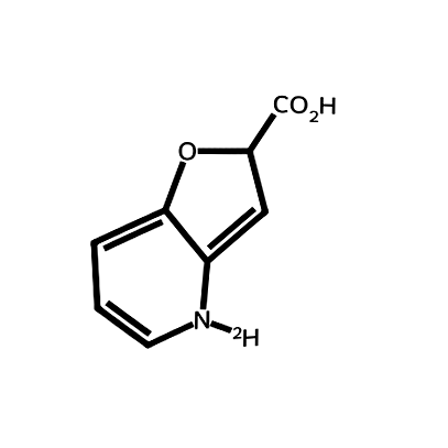 [2H]N1C=CC=C2OC(C(=O)O)C=C21